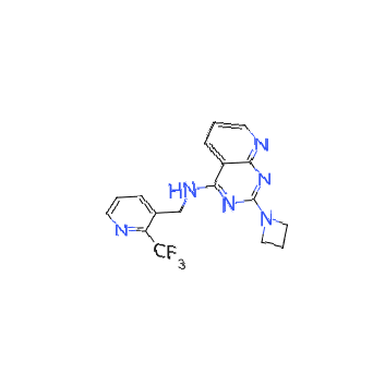 FC(F)(F)c1ncccc1CNc1nc(N2CCC2)nc2ncccc12